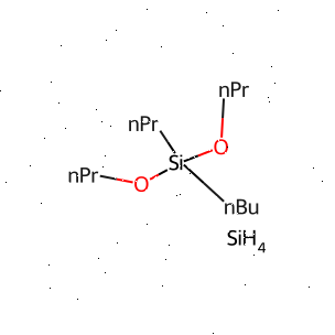 CCCC[Si](CCC)(OCCC)OCCC.[SiH4]